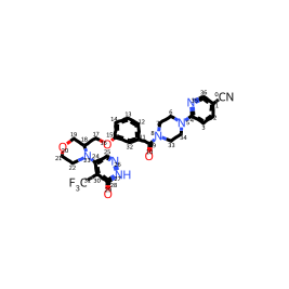 N#Cc1ccc(N2CCN(C(=O)c3cccc(OCC4COCCN4c4cn[nH]c(=O)c4C(F)(F)F)c3)CC2)nc1